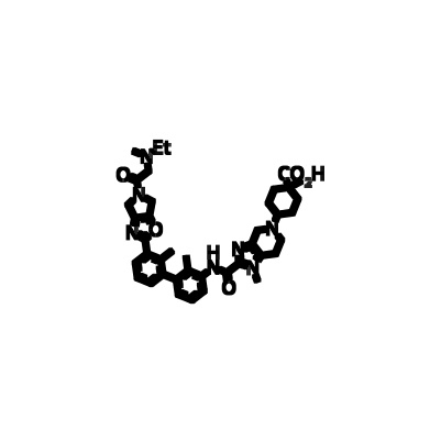 CCN(C)CC(=O)N1Cc2nc(-c3cccc(-c4cccc(NC(=O)c5nc6c(n5C)CCN(C5CCC(C)(C(=O)O)CC5)C6)c4C)c3C)oc2C1